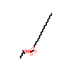 CCCCCCCCCCCCCCCCCCCCCCOC(=O)C(=O)OOOC(C)(C)CCCC